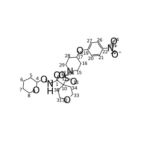 O=C(NOC1CCCCO1)C1(S(=O)(=O)N2CCC(Oc3ccc([N+](=O)[O-])cc3)CC2)CCOCC1